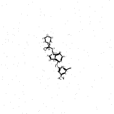 Cc1cc(C#N)cc(Oc2cccc3c2ccn3CC(=O)N2CCCCC2)n1